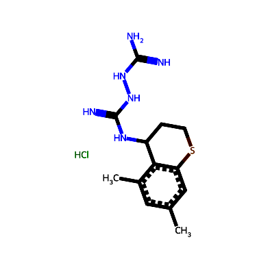 Cc1cc(C)c2c(c1)SCCC2NC(=N)NNC(=N)N.Cl